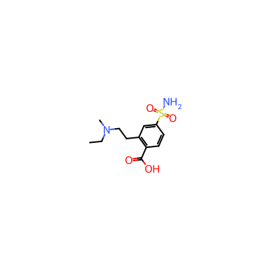 CCN(C)CCc1cc(S(N)(=O)=O)ccc1C(=O)O